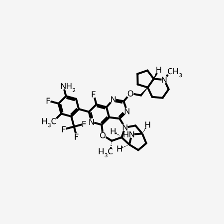 Cc1c(F)c(N)cc(-c2nc3c4c(nc(OC[C@@]56CCC[C@@H]5N(C)CCC6)nc4c2F)N2C[C@H]4CC[C@H](N4)[C@H]2[C@H](C)O3)c1C(F)(F)F